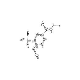 CCOC(=O)c1cnc(C=O)c(C(F)(F)F)c1